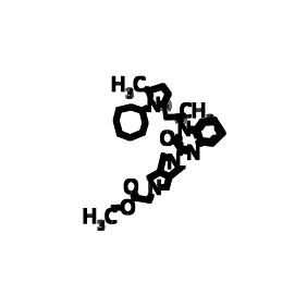 CCOC(=O)CN1CC2CN(c3nc4ccccc4n([C@@H](C)C[C@@H]4CCC(C)N4C4CCCCCCC4)c3=O)CC2C1